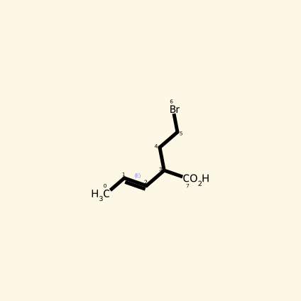 C/C=C/C(CCBr)C(=O)O